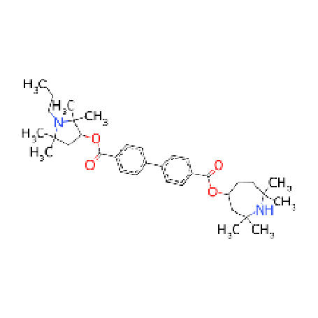 CCCN1C(C)(C)CC(OC(=O)c2ccc(-c3ccc(C(=O)OC4CCC(C)(C)NC(C)(C)C4)cc3)cc2)C1(C)C